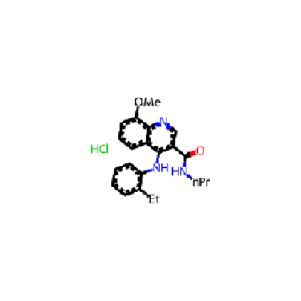 CCCNC(=O)c1cnc2c(OC)cccc2c1Nc1ccccc1CC.Cl